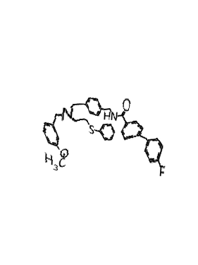 COc1cccc(CN(CCSc2ccccc2)Cc2ccc(CNC(=O)c3ccc(-c4ccc(F)cc4)cc3)cc2)c1